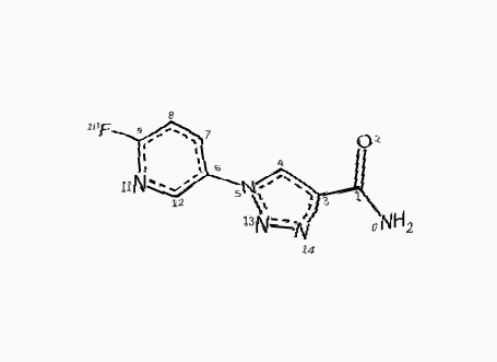 NC(=O)c1cn(-c2ccc(F)nc2)nn1